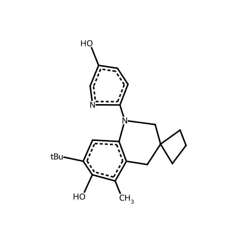 Cc1c(O)c(C(C)(C)C)cc2c1CC1(CCC1)CN2c1ccc(O)cn1